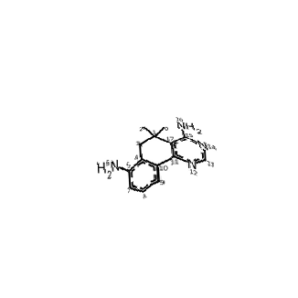 CC1(C)Cc2c(N)cccc2-c2ncnc(N)c21